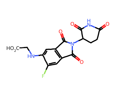 O=C(O)CNc1cc2c(cc1F)C(=O)N(C1CCC(=O)NC1=O)C2=O